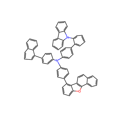 c1ccc(-n2c3ccccc3c3ccccc32)c(-c2ccc(N(c3ccc(-c4cccc5ccccc45)cc3)c3ccc(-c4cccc5oc6c7ccccc7ccc6c45)cc3)cc2)c1